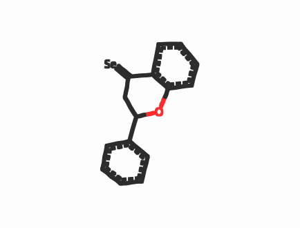 [Se]=C1CC(c2ccccc2)Oc2ccccc21